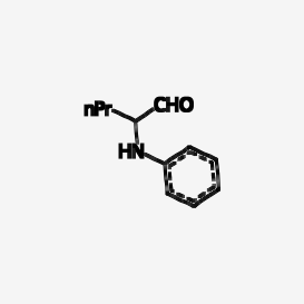 CCCC(C=O)Nc1ccccc1